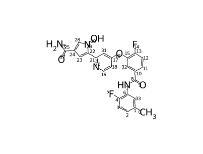 Cc1ccc(F)c(NC(=O)c2ccc(F)c(Oc3ccnc(-c4cc(C(N)=O)cn4O)c3)c2)c1